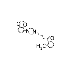 Cc1cccc2occ(CCCCN3CCN(c4cccc5c4OCCO5)CC3)c12